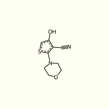 N#Cc1c(O)csc1N1CCOCC1